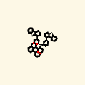 c1ccc(-c2cccc3cccc(-c4ccccc4N(c4cccc(-c5cccc6c5sc5ccccc56)c4)c4cccc(-c5cccc6oc7ccccc7c56)c4)c23)cc1